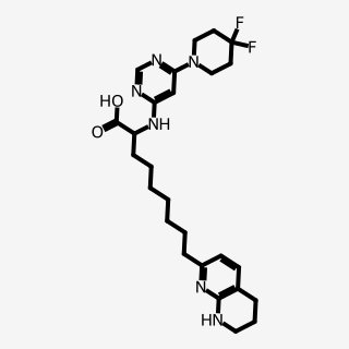 O=C(O)C(CCCCCCCc1ccc2c(n1)NCCC2)Nc1cc(N2CCC(F)(F)CC2)ncn1